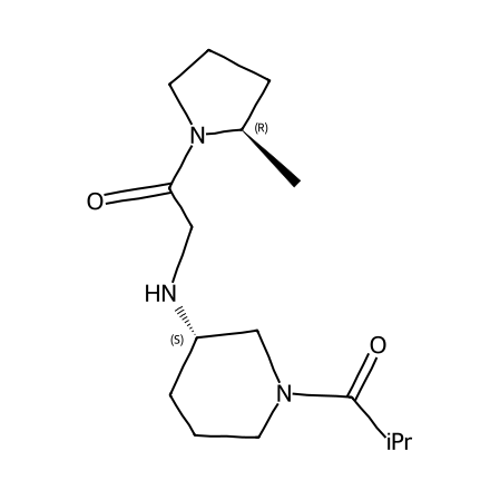 CC(C)C(=O)N1CCC[C@H](NCC(=O)N2CCC[C@H]2C)C1